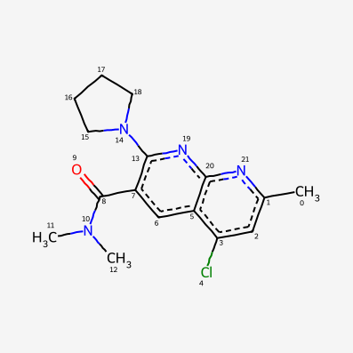 Cc1cc(Cl)c2cc(C(=O)N(C)C)c(N3CCCC3)nc2n1